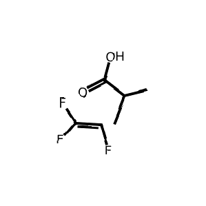 CC(C)C(=O)O.FC=C(F)F